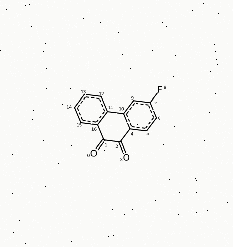 O=C1C(=O)c2ccc(F)cc2-c2ccccc21